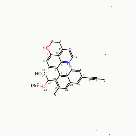 CC#Cc1ccc2c(-c3ccc4c5c(ccnc35)CCO4)c(C(OC(C)(C)C)C(=O)O)c(C)cc2c1